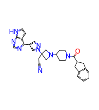 N#CCC1(n2cc(-c3ncnc4[nH]ccc34)cn2)CN(C2CCN(C(=O)C3Cc4ccccc4C3)CC2)C1